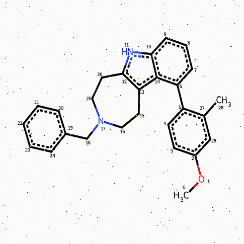 COc1ccc(-c2cccc3[nH]c4c(c23)CCN(Cc2ccccc2)CC4)c(C)c1